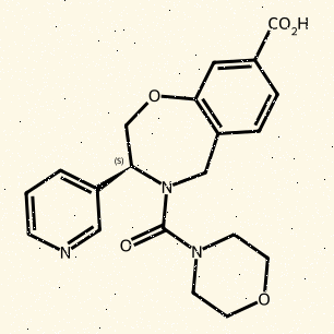 O=C(O)c1ccc2c(c1)OC[C@H](c1cccnc1)N(C(=O)N1CCOCC1)C2